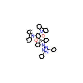 c1ccc(-c2nc(-c3ccccc3)nc(N3c4cccc5c4B4c6c(cccc63)Oc3c(-n6c7ccccc7c7ccccc76)cc(-n6c7ccccc7c7ccccc76)c(c34)O5)n2)cc1